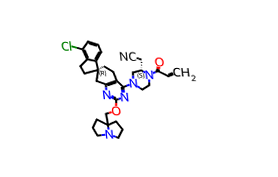 C=CC(=O)N1CCN(c2nc(OCC34CCCN3CCC4)nc3c2CC[C@@]2(CCc4c(Cl)cccc42)C3)C[C@@H]1CC#N